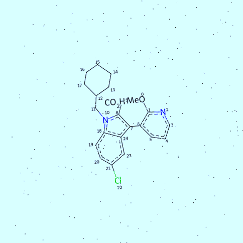 COc1ncccc1-c1c(C(=O)O)n(CC2CCCCC2)c2ccc(Cl)cc12